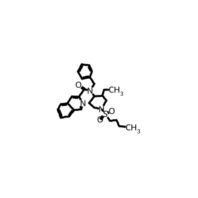 CCCCS(=O)(=O)N1CCC(N(Cc2ccccc2)C(=O)c2cc3ccccc3cn2)C(CC)C1